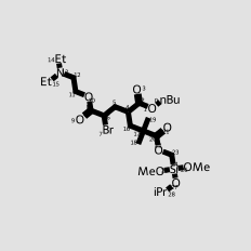 CCCCOC(=O)C(CC(Br)C(=O)OCCN(CC)CC)CC(C)(C)C(=O)OC[Si](OC)(OC)OC(C)C